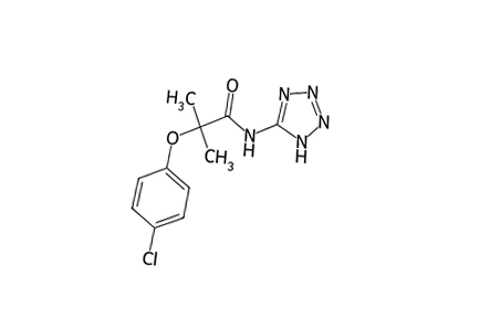 CC(C)(Oc1ccc(Cl)cc1)C(=O)Nc1nnn[nH]1